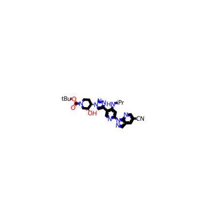 CC(C)Nc1cc(-n2ncc3cc(C#N)cnc32)ncc1-c1cn([C@H]2CCN(C(=O)OC(C)(C)C)C[C@H]2O)nn1